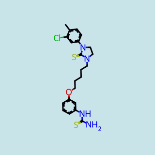 Cc1ccc(N2CCN(CCCCCOc3cccc(NC(N)=S)c3)C2=S)cc1Cl